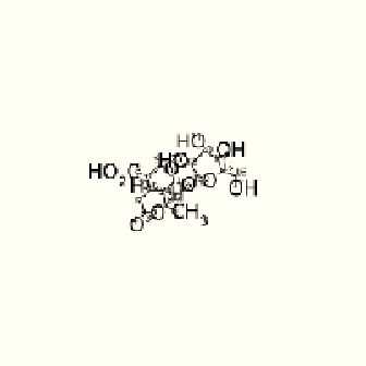 C[C@H]1OC(=O)C[C@@H]2C(C(=O)O)=CO[C@@H](O[C@@H]3O[C@H](CO)[C@@H](O)[C@H](O)[C@H]3O)[C@@H]21